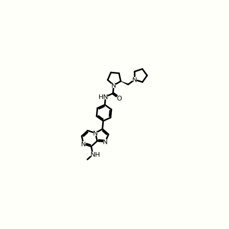 CNc1nccn2c(-c3ccc(NC(=O)N4CCC[C@H]4CN4CCCC4)cc3)cnc12